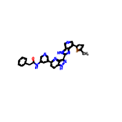 Cc1ccc(-c2cncc3[nH]c(-c4n[nH]c5ccc(-c6cncc(NC(=O)Cc7ccccc7)c6)nc45)nc23)s1